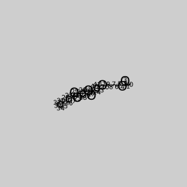 C=CC(=O)OCCCCCCOc1ccc(C(=O)Oc2ccc(OC(=O)c3ccc(-c4ccccc4)cc3)cc2)cc1